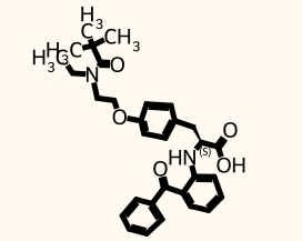 CCN(CCOc1ccc(C[C@H](Nc2ccccc2C(=O)c2ccccc2)C(=O)O)cc1)C(=O)C(C)(C)C